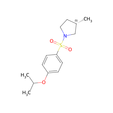 CC(C)Oc1ccc(S(=O)(=O)N2CC[C@H](C)C2)cc1